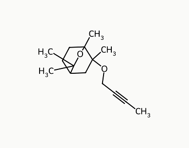 CC#CCOC1(C)CC2CCC1(C)OC2(C)C